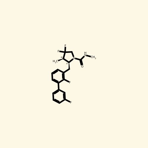 CNC(=O)N1CC(F)(F)[C@H](C)[C@@H]1Cc1cccc(-c2cccc(F)c2)c1F